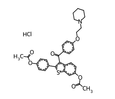 CC(=O)Oc1ccc(-c2sc3cc(OC(C)=O)ccc3c2C(=O)c2ccc(OCCN3CCCCC3)cc2)cc1.Cl